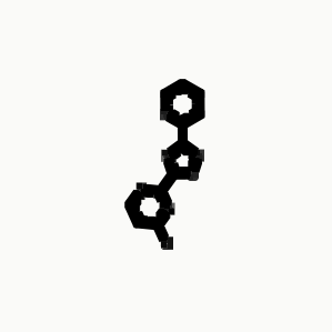 Clc1ccnc(-c2nc(-c3ccccn3)no2)n1